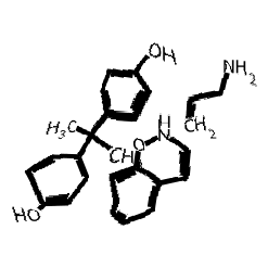 C1=Cc2ccccc2ON1.C=CCN.CC(C)(c1ccc(O)cc1)c1ccc(O)cc1